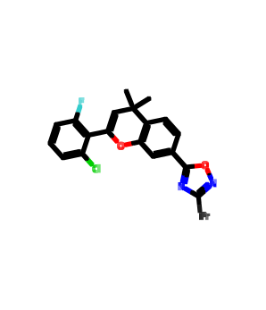 CC(C)c1noc(-c2ccc3c(c2)OC(c2c(F)cccc2Cl)=CC3(C)C)n1